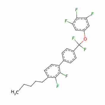 CCCCCc1ccc(-c2ccc(C(F)(F)Oc3cc(F)c(F)c(F)c3)cc2)c(F)c1F